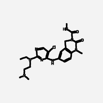 CCN(CCN(C)C)c1ncc(Cl)c(Nc2ccc3c(c2)CN(C(=O)NC)C(=O)N3C)n1